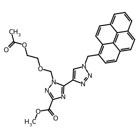 COC(=O)c1nc(-c2cn(Cc3ccc4ccc5cccc6ccc3c4c56)nn2)n(COCCOC(C)=O)n1